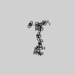 Cc1c(-c2ccc(N3CCc4cccc(C(=O)Nc5nc6ccccc6s5)c4C3)nc2C(=O)O)cnn1CC12CC3CC(C)(C1)CC(OCCN(C)C(=O)OCc1ccc(NC(=O)[C@H](CCCNC(N)=O)NC(=O)[C@@H](NC(=O)CCCCCN4C(=O)C=CC4=O)C(C)C)cc1)(C3)C2